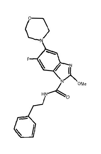 COc1nc2cc(N3CCOCC3)c(F)cc2n1C(=O)NCCc1ccccc1